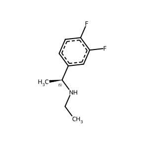 CCN[C@@H](C)c1ccc(F)c(F)c1